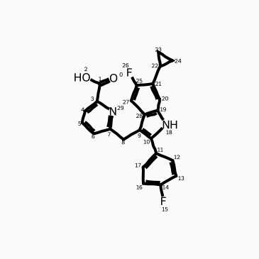 O=C(O)c1cccc(Cc2c(-c3ccc(F)cc3)[nH]c3cc(C4CC4)c(F)cc23)n1